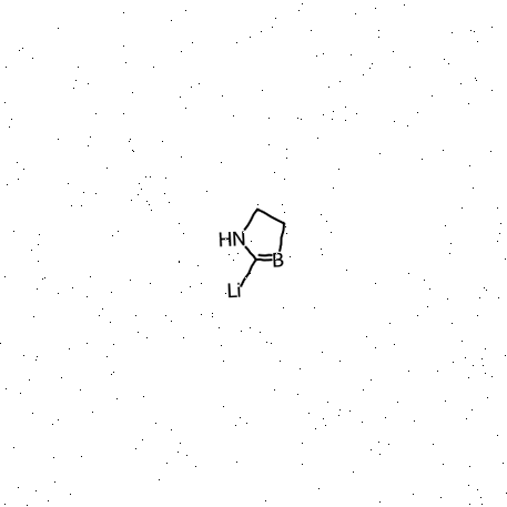 [Li][C]1=BCCN1